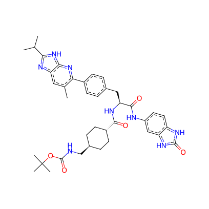 Cc1cc2nc(C(C)C)[nH]c2nc1-c1ccc(C[C@H](NC(=O)[C@H]2CC[C@H](CNC(=O)OC(C)(C)C)CC2)C(=O)Nc2ccc3[nH]c(=O)[nH]c3c2)cc1